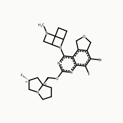 CN1CC2N(c3nc(OC[C@@]45CCCN4C[C@H](F)C5)nc4c(F)c(Br)c5c(c34)COC5)C3CCC321